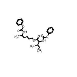 CCC(C)C(NC(=O)Oc1ccccc1)C(=O)OCCCCC(C)NC(=O)Oc1ccccc1